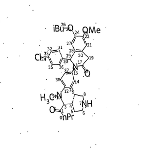 CCCC(=O)C(C1CCNCC1)N(C)c1ccc(N2C(=O)Cc3cc(OC)c(OC(C)CC)cc3C2c2ccc(Cl)cc2)cc1